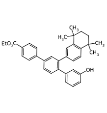 CCOC(=O)c1ccc(-c2ccc(-c3cccc(O)c3)c(-c3ccc4c(c3)C(C)(C)CCC4(C)C)c2)cc1